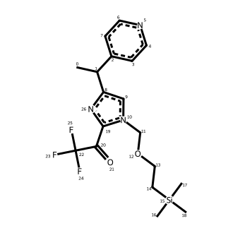 CC(c1ccncc1)c1cn(COCC[Si](C)(C)C)c(C(=O)C(F)(F)F)n1